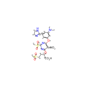 CN(C)c1cc(Oc2nc(S(C)(=O)=O)nc(OC(CCS(C)(=O)=O)C(=O)O)c2[N+](=O)[O-])cc(C2=NCCN2)c1